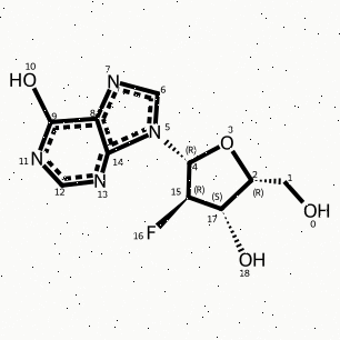 OC[C@H]1O[C@@H](n2cnc3c(O)ncnc32)[C@H](F)[C@H]1O